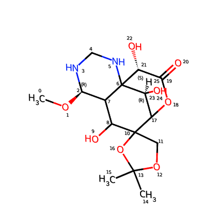 CO[C@H]1NCNC23C1C(O)C1(COC(C)(C)O1)C(OC(=O)[C@H]2O)[C@@H]3O